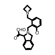 O=CC(=O)C1c2ccccc2CN1Cc1c(Cl)cccc1CN1CCC1